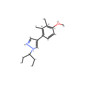 CCC(CC)n1cc(-c2ccc(OC)c(C)c2C)cn1